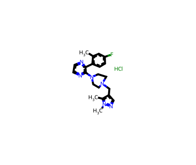 Cc1cc(F)ccc1-c1nccnc1N1CCN(Cc2cnn(C)c2C)CC1.Cl